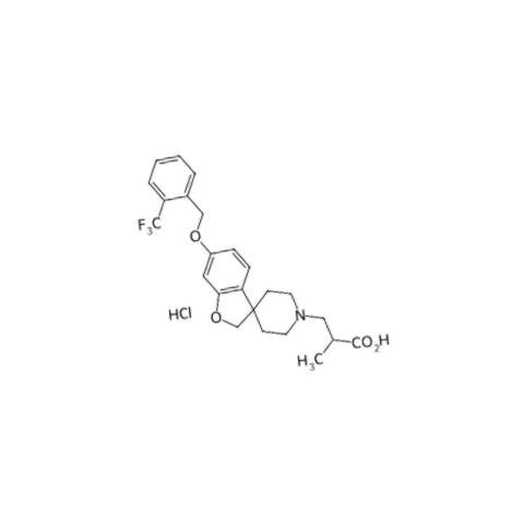 CC(CN1CCC2(CC1)COc1cc(OCc3ccccc3C(F)(F)F)ccc12)C(=O)O.Cl